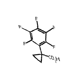 O=C(O)C1(c2c(F)c(F)c(F)c(F)c2F)CC1